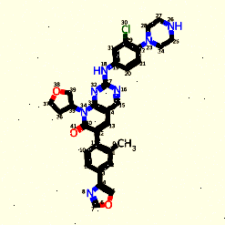 Cc1cc(-c2cocn2)ccc1-c1cc2cnc(Nc3ccc(N4CCNCC4)c(Cl)c3)nc2n(C2CCOC2)c1=O